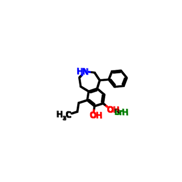 Br.CCCc1c(O)c(O)cc2c1CCNCC2c1ccccc1